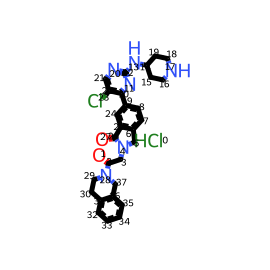 Cl.O=C(CN1Cc2ccc(-c3nc(NC4CCNCC4)ncc3Cl)cc2C1=O)N1CCc2ccccc2C1